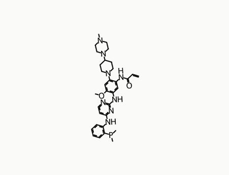 C=CC(=O)Nc1cc(Nc2nccc(Nc3ccccc3P(C)C)n2)c(OC)cc1N1CCC(N2CCN(C)CC2)CC1